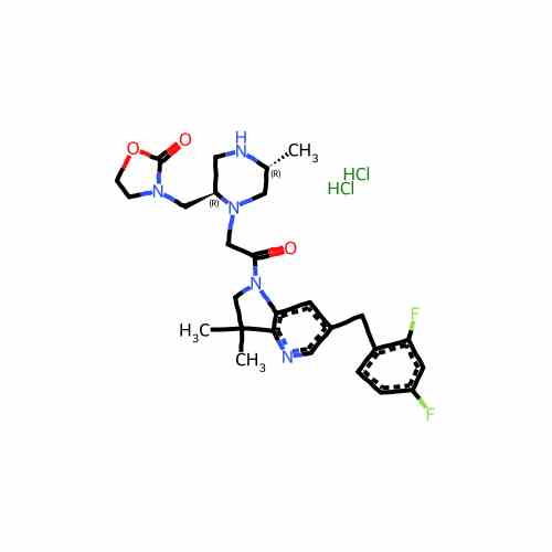 C[C@@H]1CN(CC(=O)N2CC(C)(C)c3ncc(Cc4ccc(F)cc4F)cc32)[C@@H](CN2CCOC2=O)CN1.Cl.Cl